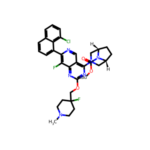 CN1CCC(F)(COc2nc(N3C[C@H]4CC[C@@H](C3)N4C(=O)OC(C)(C)C)c3cnc(-c4cccc5cccc(Cl)c45)c(F)c3n2)CC1